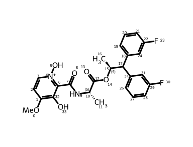 COc1cc[n+](O)c(C(=O)N[C@@H](C)C(=O)O[C@@H](C)C(c2cccc(F)c2)c2cccc(F)c2)c1O